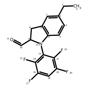 CCc1ccc2c(c1)CC(C=O)N2c1c(F)c(F)cc(F)c1F